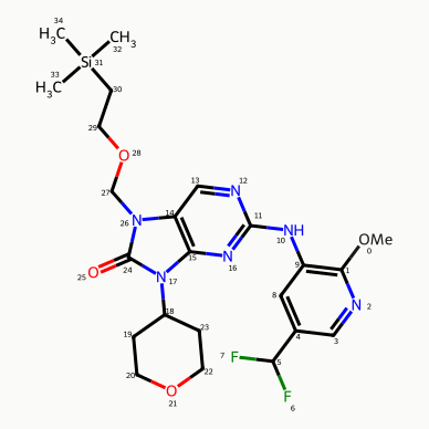 COc1ncc(C(F)F)cc1Nc1ncc2c(n1)n(C1CCOCC1)c(=O)n2COCC[Si](C)(C)C